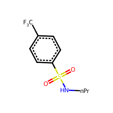 CCCNS(=O)(=O)c1ccc(C(F)(F)F)cc1